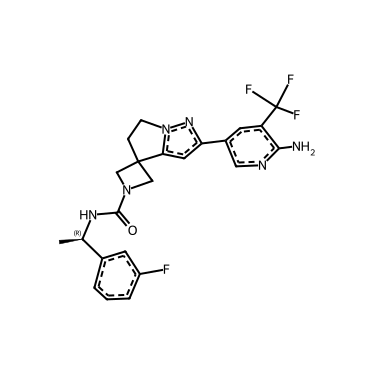 C[C@@H](NC(=O)N1CC2(CCn3nc(-c4cnc(N)c(C(F)(F)F)c4)cc32)C1)c1cccc(F)c1